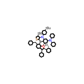 Cc1cc(N(c2ccccc2)c2ccccc2)cc2c1B(c1c(Cc3ccccc3)ccc3c(-c4ccccc4)c(-c4ccccc4)oc13)c1scc(C(C)(C)C)c1N2c1ccc(C(C)(C)C)cc1